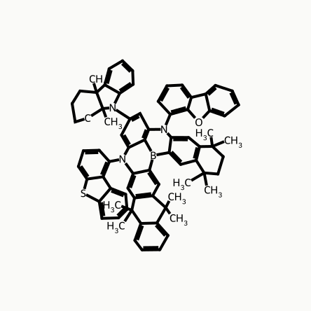 CC1(C)CCC(C)(C)c2cc3c(cc21)B1c2cc4c(cc2N(c2cccc5sc6ccccc6c25)c2cc(N5c6ccccc6C6(C)CCCCC56C)cc(c21)N3c1cccc2c1oc1ccccc12)C(C)(C)c1ccccc1C4(C)C